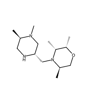 C[C@@H]1OC[C@@H](C)N(C[C@H]2CN(C)[C@H](C)CN2)[C@@H]1C